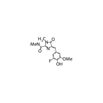 CNC(=O)C1=N/C(=C\c2cc(F)c(O)c(OC)c2)C(=O)N1C